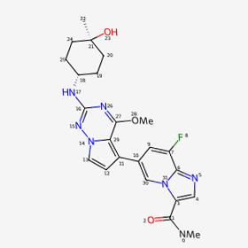 CNC(=O)c1cnc2c(F)cc(-c3ccn4nc(N[C@H]5CC[C@](C)(O)CC5)nc(OC)c34)cn12